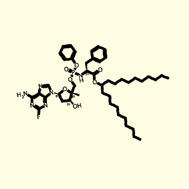 CCCCCCCCCCC(CCCCCCCCCC)OC(=O)[C@H](Cc1ccccc1)NP(=O)(OC[C@@]1(C)O[C@@H](n2cnc3c(N)nc(F)nc32)C[C@@H]1O)Oc1ccccc1